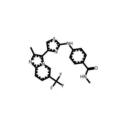 CNC(=O)c1ccc(Nc2nc(-c3c(C)nc4ccc(C(F)(F)F)cn34)cs2)cc1